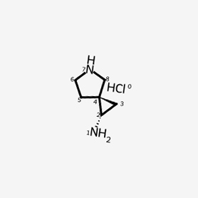 Cl.N[C@H]1C[C@]12CCNC2